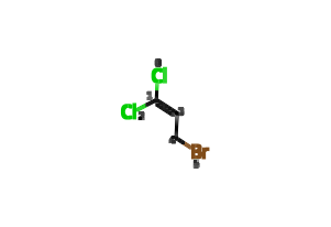 ClC(Cl)=CCBr